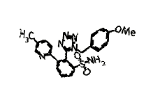 COc1ccc(Cn2nnnc2-c2c(-c3ccc(C)cn3)cccc2S(N)(=O)=O)cc1